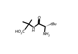 CC(C)(NC(=O)[C@@H](N)C(C)(C)C)C(=O)O